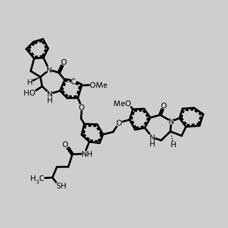 COc1cc2c(cc1OCc1cc(COc3cc4c(cc3OC)C(=O)N3c5ccccc5C[C@H]3C(O)N4)cc(NC(=O)CCC(C)S)c1)NC[C@@H]1Cc3ccccc3N1C2=O